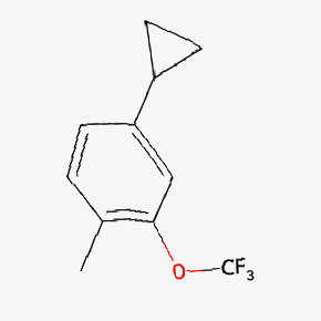 Cc1ccc(C2CC2)cc1OC(F)(F)F